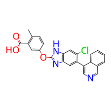 Cc1ccc(Oc2nc3cc(-c4cncc5ccccc45)c(Cl)cc3[nH]2)cc1C(=O)O